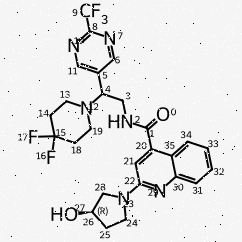 O=C(NCC(c1cnc(C(F)(F)F)nc1)N1CCC(F)(F)CC1)c1cc(N2CC[C@@H](O)C2)nc2ccccc12